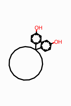 Oc1ccc(C2(c3ccc(O)cc3)CCCCCCCCCCCCCCCCCC2)cc1